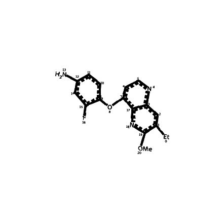 CCc1cc2nccc(Oc3ccc(N)cc3F)c2nc1OC